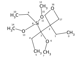 CCC1(C(CC)(OC)[Si](CC)(OC)OC)COC1